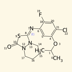 CC(C)Oc1cc(/N=c2/sc(=O)n3n2CCCC3)c(F)cc1Cl